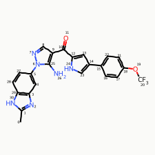 Cc1nc2cc(-n3ncc(C(=O)c4cc(-c5ccc(OC(F)(F)F)cc5)c[nH]4)c3N)ccc2[nH]1